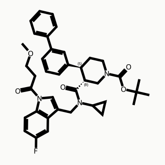 COCCC(=O)n1cc(CN(C(=O)[C@H]2CN(C(=O)OC(C)(C)C)CC[C@@H]2c2cccc(-c3ccccc3)c2)C2CC2)c2cc(F)ccc21